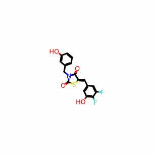 O=C1S/C(=C\c2cc(O)c(F)c(F)c2)C(=O)N1Cc1cccc(O)c1